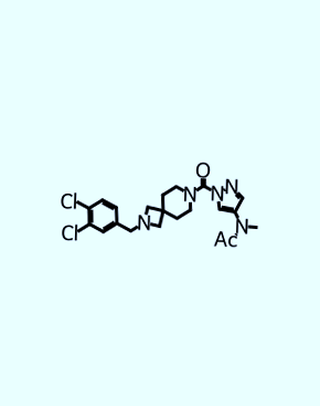 CC(=O)N(C)c1cnn(C(=O)N2CCC3(CC2)CN(Cc2ccc(Cl)c(Cl)c2)C3)c1